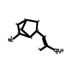 CC(=CC1CC2CC(C#N)C1C2)C(=O)O